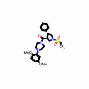 COc1ccc(OC)c(N2CCN(C(=O)[C@@H]3CN(S(=O)(=O)CC(F)(F)F)C[C@H]3c3ccccc3)CC2)c1